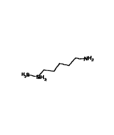 NCCCCC[SiH2][SiH3]